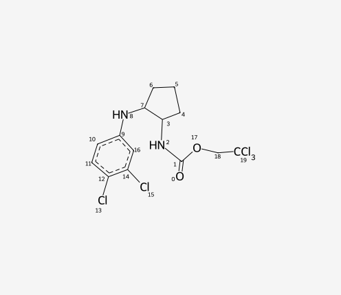 O=C(NC1CCCC1Nc1ccc(Cl)c(Cl)c1)OCC(Cl)(Cl)Cl